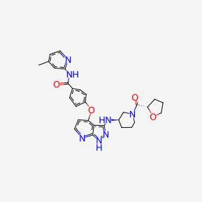 Cc1ccnc(NC(=O)c2ccc(Oc3ccnc4[nH]nc(N[C@@H]5CCCN(C(=O)[C@@H]6CCCO6)C5)c34)cc2)c1